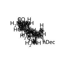 CCCCCCCCCCCCCCCC(=O)N[C@@H](Cc1c[nH]cn1)C(=O)N[C@@H](CCCNC(=N)N)C(=O)N[C@@H](CCC(N)=O)C(=O)N[C@H](C(=O)N[C@@H](CCCNC(=N)N)C(=O)N[C@@H](CO)C(=O)N[C@@H](CO)C(=O)N[C@H](C(=O)N[C@@H](CCC(=O)O)C(N)=O)[C@@H](C)N=O)[C@@H](C)O